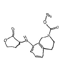 CC(C)(C)OC(=O)N1CCc2cccc(NC3CCOC3=O)c2C1